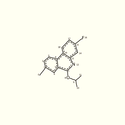 Cc1ccc2c(c1)c(OC(C)C)nc1cc(F)ccc12